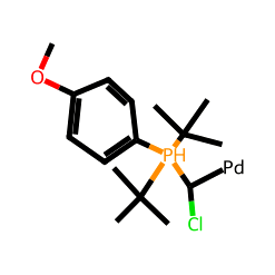 COc1ccc([PH]([CH](Cl)[Pd])(C(C)(C)C)C(C)(C)C)cc1